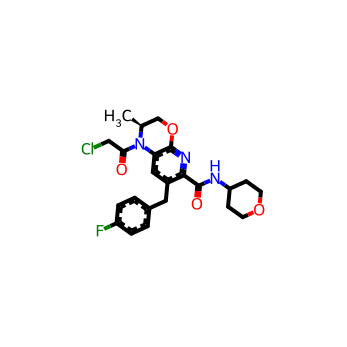 C[C@H]1COc2nc(C(=O)NC3CCOCC3)c(Cc3ccc(F)cc3)cc2N1C(=O)CCl